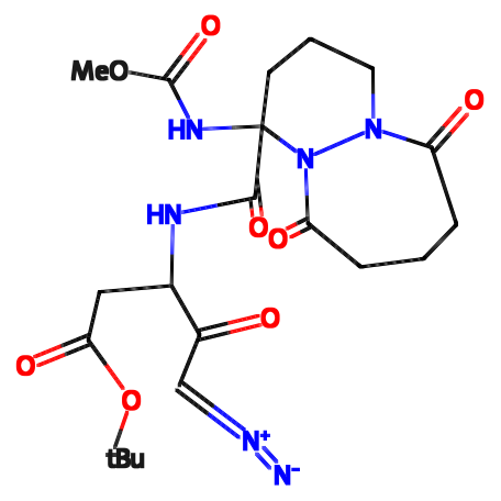 COC(=O)NC1(C(=O)NC(CC(=O)OC(C)(C)C)C(=O)C=[N+]=[N-])CCCN2C(=O)CCCC(=O)N21